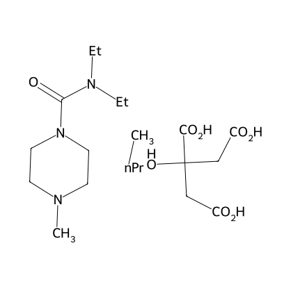 CCCC.CCN(CC)C(=O)N1CCN(C)CC1.O=C(O)CC(O)(CC(=O)O)C(=O)O